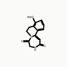 COc1cccc2c1CCN1C(=O)CNC(=O)C=C21